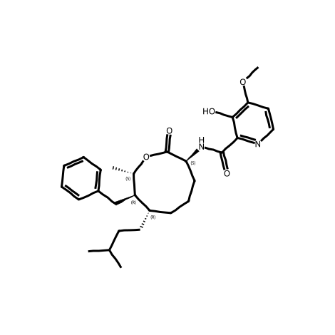 COc1ccnc(C(=O)N[C@H]2CCC[C@H](CCC(C)C)[C@@H](Cc3ccccc3)[C@H](C)OC2=O)c1O